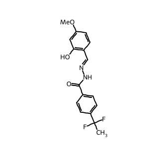 COc1ccc(/C=N/NC(=O)c2ccc(C(C)(F)F)cc2)c(O)c1